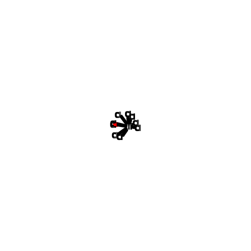 [Cl][Ti]([Cl])([Cl])([Cl])([Cl])([Cl])([Cl])([Cl])[Cl]